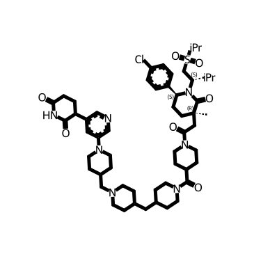 CC(C)[C@@H](CS(=O)(=O)C(C)C)N1C(=O)[C@@](C)(CC(=O)N2CCC(C(=O)N3CCC(CC4CCN(CC5CCN(c6cncc(C7CCC(=O)NC7=O)c6)CC5)CC4)CC3)CC2)CC[C@H]1c1ccc(Cl)cc1